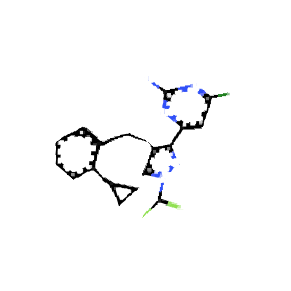 Nc1nc(Cl)cc(-c2nn(C(F)F)cc2Cc2ccccc2C2CC2)n1